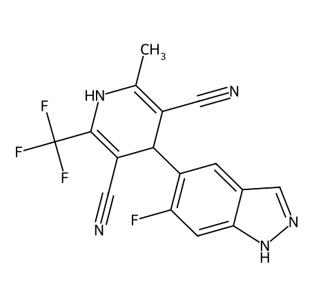 CC1=C(C#N)C(c2cc3cn[nH]c3cc2F)C(C#N)=C(C(F)(F)F)N1